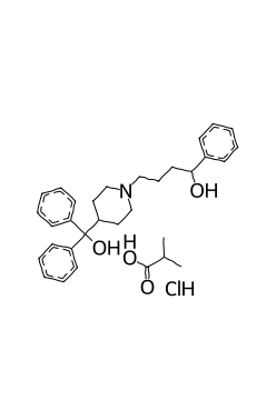 CC(C)C(=O)O.Cl.OC(CCCN1CCC(C(O)(c2ccccc2)c2ccccc2)CC1)c1ccccc1